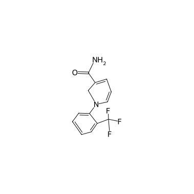 NC(=O)C1=CC=CN(c2ccccc2C(F)(F)F)C1